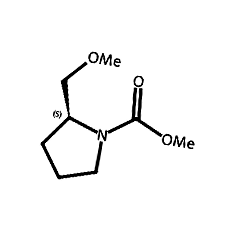 COC[C@@H]1CCCN1C(=O)OC